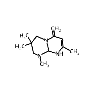 C=C1C=C(C)NC2N(C)CC(C)(C)CN12